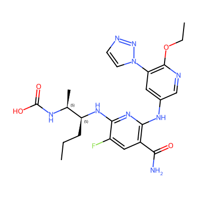 CCC[C@H](Nc1nc(Nc2cnc(OCC)c(-n3ccnn3)c2)c(C(N)=O)cc1F)[C@H](C)NC(=O)O